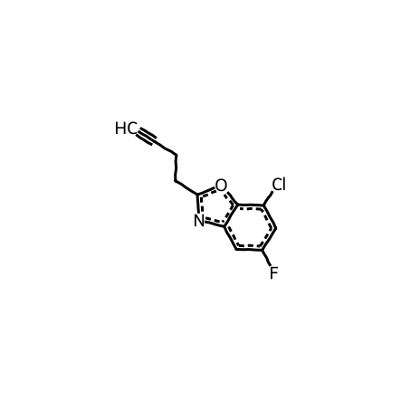 C#CCCc1nc2cc(F)cc(Cl)c2o1